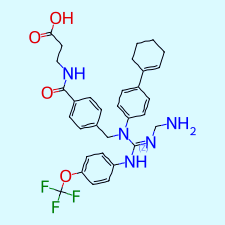 NC/N=C(/Nc1ccc(OC(F)(F)F)cc1)N(Cc1ccc(C(=O)NCCC(=O)O)cc1)c1ccc(C2=CCCCC2)cc1